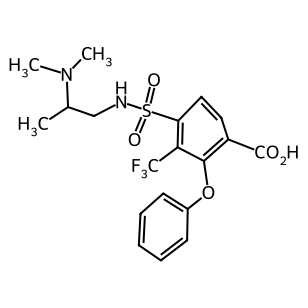 CC(CNS(=O)(=O)c1ccc(C(=O)O)c(Oc2ccccc2)c1C(F)(F)F)N(C)C